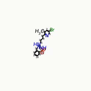 Cc1cc(Br)cnc1CCCCNN1Cc2ccccc2S(=O)(=O)N1